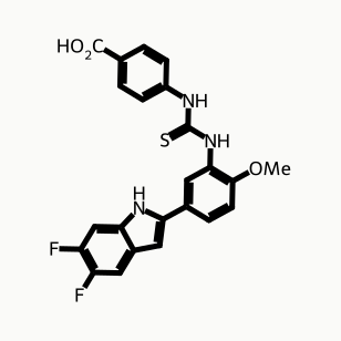 COc1ccc(-c2cc3cc(F)c(F)cc3[nH]2)cc1NC(=S)Nc1ccc(C(=O)O)cc1